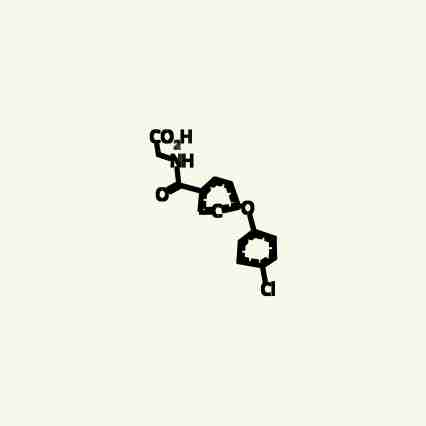 O=C(O)CNC(=O)c1ccc(Oc2ccc(Cl)cc2)cc1